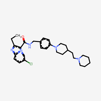 CCc1nc2ccc(Cl)cn2c1C(=O)NCc1ccc(N2CCC(CCN3CCCCC3)CC2)cc1